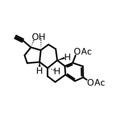 C#C[C@]1(O)CC[C@H]2[C@@H]3CCc4cc(OC(C)=O)cc(OC(C)=O)c4[C@H]3CC[C@@]21C